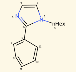 CCCCCCn1ccnc1-c1ccccc1